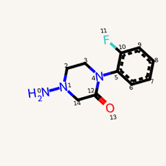 NN1CCN(c2ccccc2F)C(=O)C1